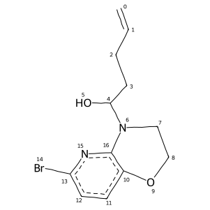 C=CCCC(O)N1CCOc2ccc(Br)nc21